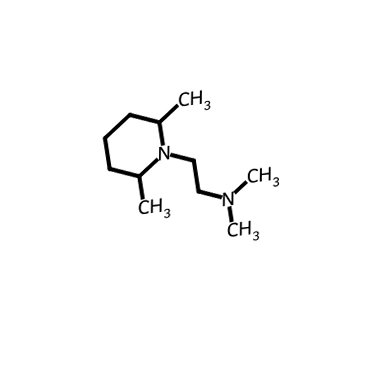 CC1CCCC(C)N1CCN(C)C